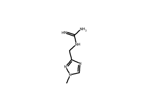 Cn1cnc(CNC(=N)N)n1